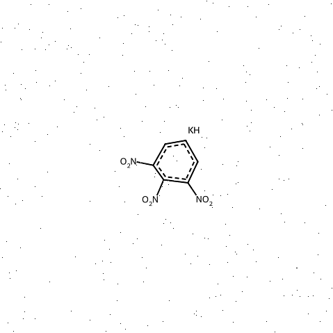 O=[N+]([O-])c1cccc([N+](=O)[O-])c1[N+](=O)[O-].[KH]